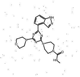 CNC(=O)N1CCN(c2nc(-c3cccc4[nH]ncc34)nc(N3CCOCC3)n2)CC1